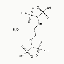 O.O=S(=O)(O)C(NCCNC(S(=O)(=O)O)S(=O)(=O)O)S(=O)(=O)O